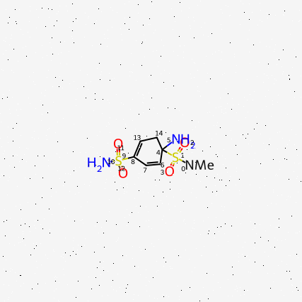 CNS(=O)(=O)C1(N)C=CC(S(N)(=O)=O)=CC1